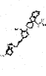 COc1ccc2c(c1)ncn2CC#Cc1cnc(N2CCC3(CC2)Cc2ccccc2[C@H]3N[S+]([O-])C(C)(C)C)c(CO)n1